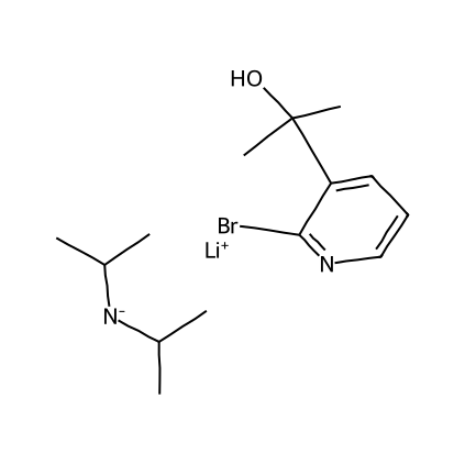 CC(C)(O)c1cccnc1Br.CC(C)[N-]C(C)C.[Li+]